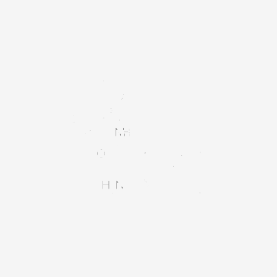 Nc1sc(-c2ccccc2)cc1C(=O)NC12CC3CC(CC(C3)C1)C2